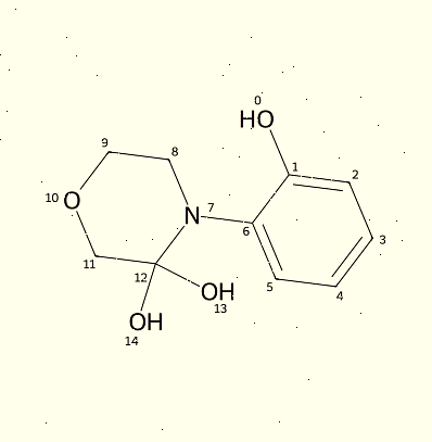 Oc1ccccc1N1CCOCC1(O)O